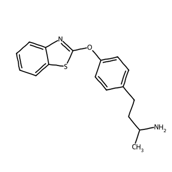 CC(N)CCc1ccc(Oc2nc3ccccc3s2)cc1